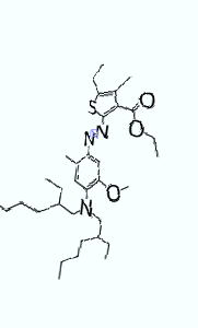 CCCCC(CC)CN(CC(CC)CCCC)c1cc(C)c(/N=N/c2sc(CC)c(C)c2C(=O)OCC)cc1OC